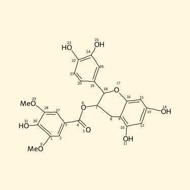 COc1cc(C(=O)OC2Cc3c(O)cc(O)cc3OC2c2ccc(O)c(O)c2)cc(OC)c1O